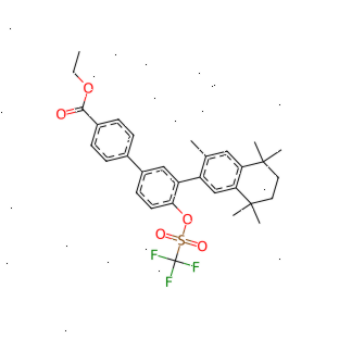 CCOC(=O)c1ccc(-c2ccc(OS(=O)(=O)C(F)(F)F)c(-c3cc4c(cc3C)C(C)(C)CCC4(C)C)c2)cc1